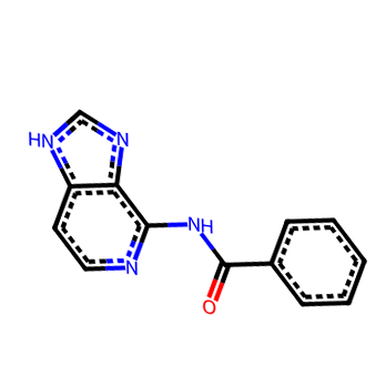 O=C(Nc1nccc2[nH]cnc12)c1ccccc1